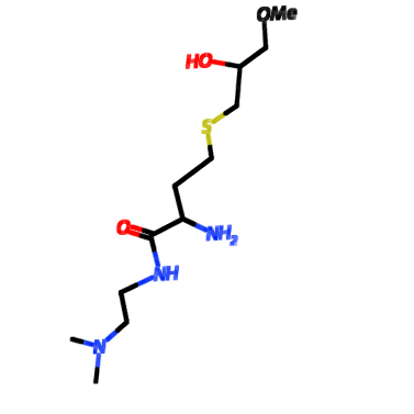 COCC(O)CSCCC(N)C(=O)NCCN(C)C